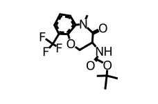 CN1C(=O)C(NC(=O)OC(C)(C)C)COc2c1cccc2C(F)(F)F